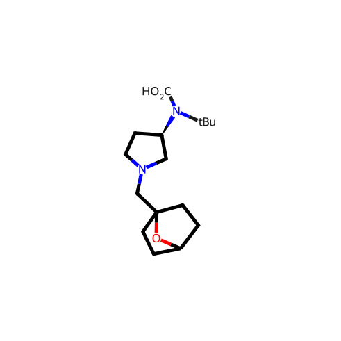 CC(C)(C)N(C(=O)O)[C@@H]1CCN(CC23CCC(CC2)O3)C1